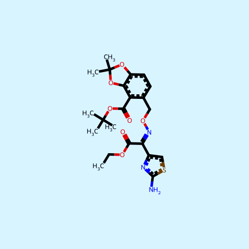 CCOC(=O)C(=NOCc1ccc2c(c1C(=O)OC(C)(C)C)OC(C)(C)O2)c1csc(N)n1